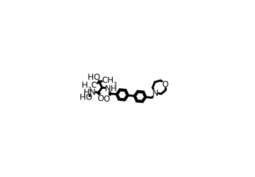 CC(C)(O)C(NC(=O)c1ccc(-c2ccc(CN3CCCOCC3)cc2)cc1)C(=O)NO